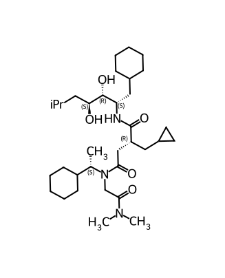 CC(C)C[C@H](O)[C@H](O)[C@H](CC1CCCCC1)NC(=O)[C@@H](CC(=O)N(CC(=O)N(C)C)[C@@H](C)C1CCCCC1)CC1CC1